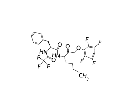 CCCCC[C@H](NC(=O)[C@H](Cc1ccccc1)NC(=O)C(F)(F)F)C(=O)COc1c(F)c(F)cc(F)c1F